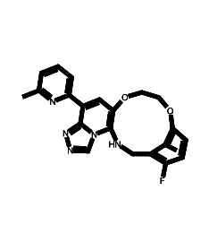 Cc1cccc(-c2cc3c(n4cnnc24)NCc2c(F)ccc(c2C)OCCO3)n1